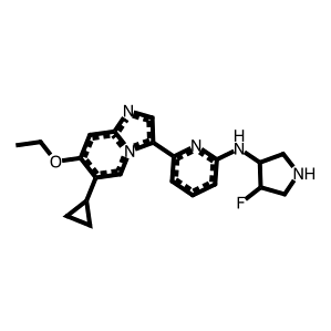 CCOc1cc2ncc(-c3cccc(NC4CNCC4F)n3)n2cc1C1CC1